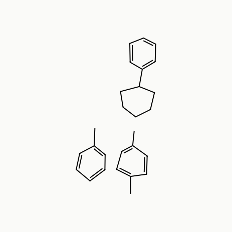 Cc1ccc(C)cc1.Cc1ccccc1.c1ccc(C2CCCCC2)cc1